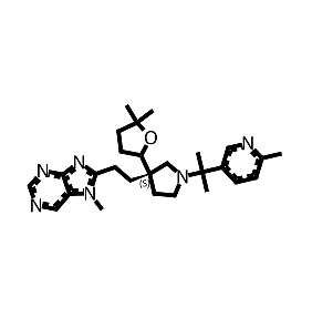 Cc1ccc(C(C)(C)N2CC[C@](CCc3nc4ncncc4n3C)(C3CCC(C)(C)O3)C2)cn1